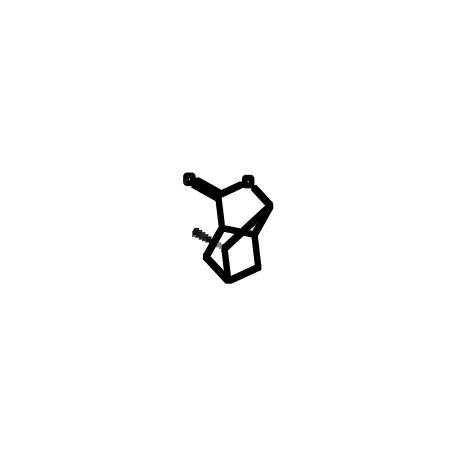 C[C@H]1C2CC3C(=O)OC1C3C2